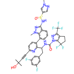 Cn1cc([S+]([O-])Nc2nn(C)c3c(-c4ccc(C#CC(C)(C)O)nc4C(Cc4cc(F)cc(F)c4)NC(=O)n4nc(C(F)(F)F)c5c4C(F)(F)CC5)cccc23)cn1